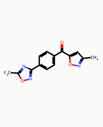 Cc1cc(C(=O)c2ccc(-c3noc(C(F)(F)F)n3)cc2)on1